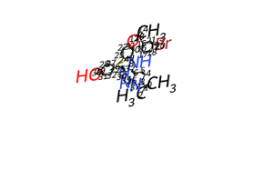 CC(C)c1ccc2c(Nc3cc(OC(C)c4cccc(Br)c4)ccc3Sc3ccc(O)cc3)ncnc2n1